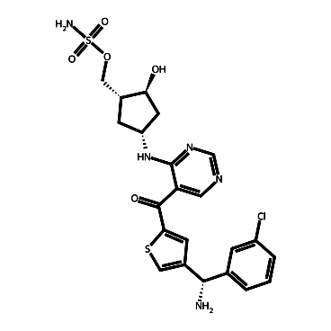 N[C@@H](c1cccc(Cl)c1)c1csc(C(=O)c2cncnc2N[C@@H]2C[C@H](COS(N)(=O)=O)[C@@H](O)C2)c1